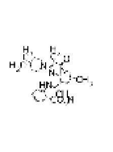 Cc1cc(C(C)Nc2ccccc2C(=O)O)c2nc(N3CCC(C)(C)CC3)c(C)c(=O)n2c1